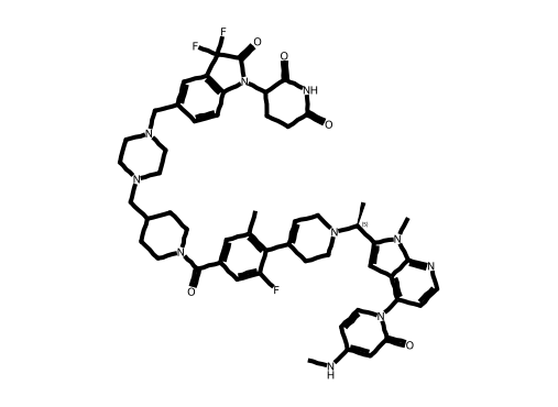 CNc1ccn(-c2ccnc3c2cc([C@H](C)N2CC=C(c4c(C)cc(C(=O)N5CCC(CN6CCN(Cc7ccc8c(c7)C(F)(F)C(=O)N8C7CCC(=O)NC7=O)CC6)CC5)cc4F)CC2)n3C)c(=O)c1